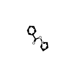 O=C(On1cccc1)c1ccccc1